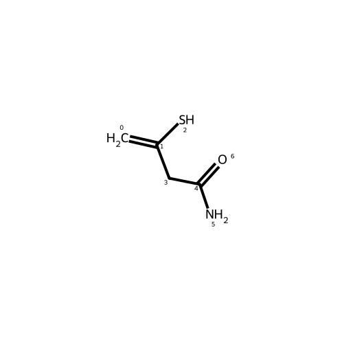 C=C(S)CC(N)=O